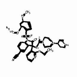 CCOc1ncccc1C1(NC(=O)N2CCN(C3CCNCC3)CC2)C(=O)N(S(=O)(=O)c2ccc(OC)cc2OC)c2ccc(C#N)cc21